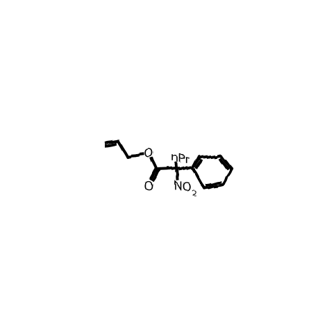 C=CCOC(=O)C(CCC)(c1ccccc1)[N+](=O)[O-]